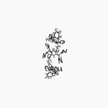 N#CC(C#N)=c1cc(OCCOC(=O)c2ccccc2S(=O)(=O)O)c(=C(C#N)C#N)cc1OCCCC(=O)c1ccccc1S(=O)(=O)O